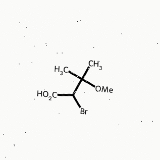 COC(C)(C)C(Br)C(=O)O